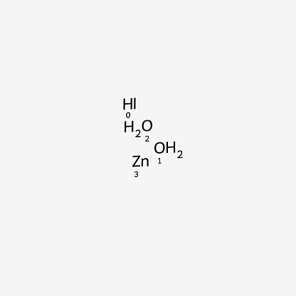 I.O.O.[Zn]